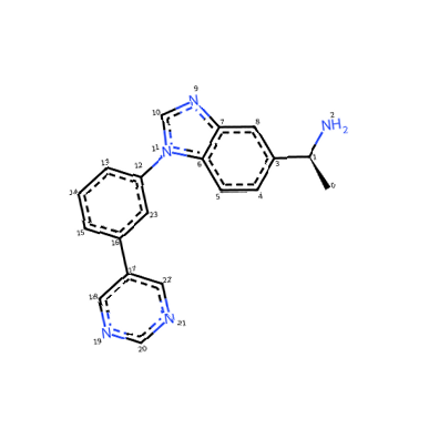 C[C@H](N)c1ccc2c(c1)ncn2-c1cccc(-c2cncnc2)c1